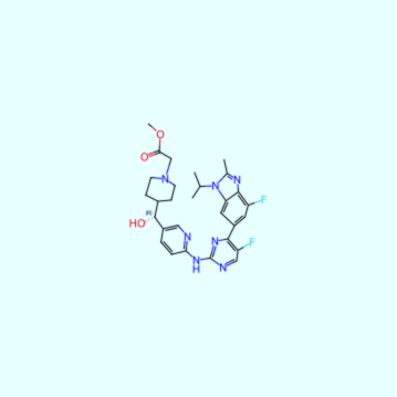 COC(=O)CN1CCC([C@@H](O)c2ccc(Nc3ncc(F)c(-c4cc(F)c5nc(C)n(C(C)C)c5c4)n3)nc2)CC1